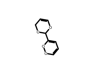 C1=COOC(C2OC=CCO2)=C1